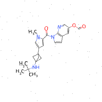 Cn1cc(C23CC(NC(C)(C)C)(C2)C3)cc1C(=O)n1ccc2cc(OC=O)cnc21